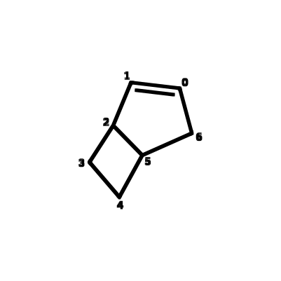 C1=CC2CCC2C1